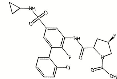 O=C(Nc1cc(S(=O)(=O)NC2CC2)cc(-c2ccccc2Cl)c1F)[C@@H]1C[C@@H](F)CN1C(=O)O